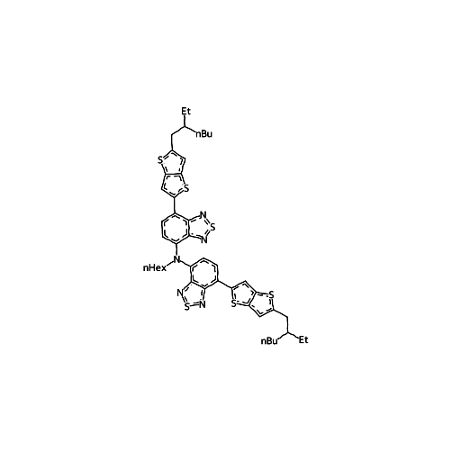 CCCCCCN(c1ccc(-c2cc3sc(CC(CC)CCCC)cc3s2)c2nsnc12)c1ccc(-c2cc3sc(CC(CC)CCCC)cc3s2)c2nsnc12